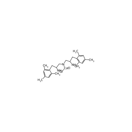 Cc1cc(C)c(CC(N)C[N](CC(N)Cc2c(C)cc(C)cc2C)[Co]([Cl])[Cl])c(C)c1